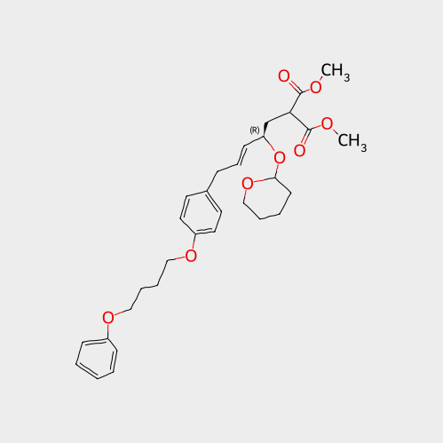 COC(=O)C(C[C@H](C=CCc1ccc(OCCCCOc2ccccc2)cc1)OC1CCCCO1)C(=O)OC